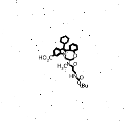 CN(C(=O)CCNC(=O)OC(C)(C)C)[C@H]1COc2ccccc2-c2c(C3CCCCC3)c3ccc(C(=O)O)cc3n2C1